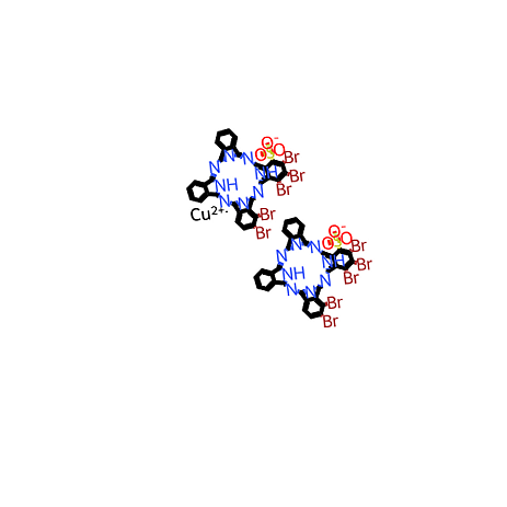 O=S(=O)([O-])c1c(Br)c(Br)c(Br)c2c3nc4nc(nc5[nH]c(nc6nc(nc([nH]3)c12)-c1ccccc1-6)c1ccccc51)-c1ccc(Br)c(Br)c1-4.O=S(=O)([O-])c1c(Br)c(Br)c(Br)c2c3nc4nc(nc5[nH]c(nc6nc(nc([nH]3)c12)-c1ccccc1-6)c1ccccc51)-c1ccc(Br)c(Br)c1-4.[Cu+2]